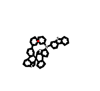 c1ccc(-c2ccc3c(c2)C2(c4ccccc4-c4ccc(N(c5ccccc5)c5ccc6c(c5)sc5ccccc56)c5cccc2c45)c2cccc4cccc-3c24)cc1